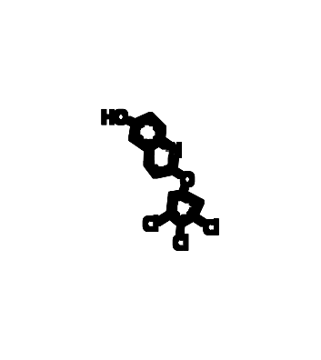 Oc1ccc2nc(Oc3cc(Cl)c(Cl)c(Cl)c3)ccc2c1